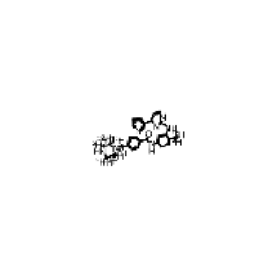 [2H]C([2H])([2H])c1ccc(NC(=O)c2ccc(C([2H])([2H])N3C([2H])([2H])C([2H])([2H])NC([2H])([2H])C3([2H])[2H])cc2)cc1Nc1nccc(-c2cccnc2)n1